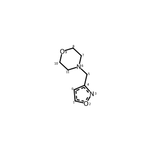 [c]1conc1CN1CCOCC1